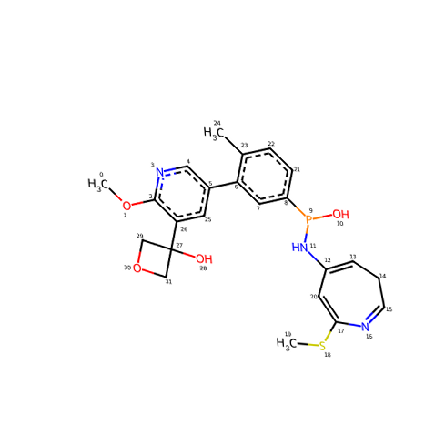 COc1ncc(-c2cc(P(O)NC3=CCC=NC(SC)=C3)ccc2C)cc1C1(O)COC1